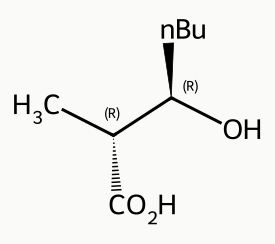 CCCC[C@@H](O)[C@@H](C)C(=O)O